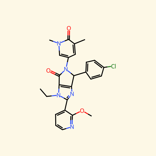 CCn1c(-c2cccnc2OC)nc2c1C(=O)N(c1cc(C)c(=O)n(C)c1)C2c1ccc(Cl)cc1